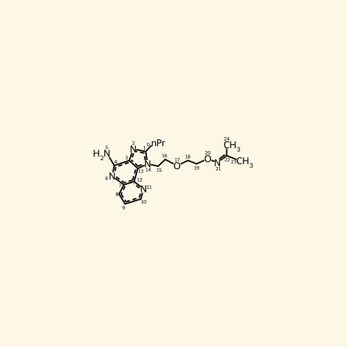 CCCc1nc2c(N)nc3cccnc3c2n1CCOCCON=C(C)C